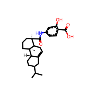 CC(C)C1CC[C@H]2C(=CCC3[C@](C)(C(=O)Nc4ccc(C(=O)O)c(O)c4)CCC[C@@]32C)C1